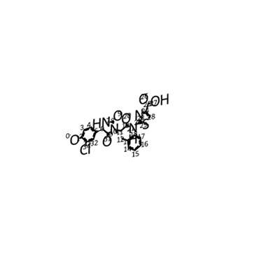 COc1ccc([C@H]2NC(=O)N([C@@H](Cc3ccccc3)C(=O)Nc3nc(C(=O)O)cs3)C2=O)cc1Cl